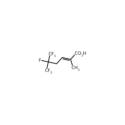 CC(=CCC(F)(C(F)(F)F)C(F)(F)F)C(=O)O